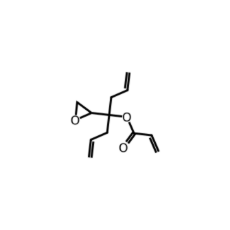 C=CCC(CC=C)(OC(=O)C=C)C1CO1